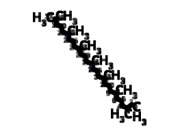 CCC(C)CC/C=C(\C)CC/C=C(\C)CC/C=C(\C)CC/C=C(\C)CC/C=C(\C)CCC=C(C)C